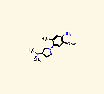 COc1cc(N2CC[C@@H](N(C)C)C2)c(C)cc1N